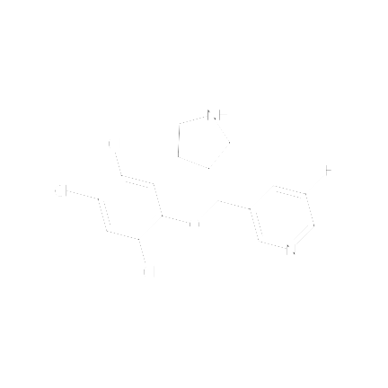 Fc1cncc(C(Oc2cc(Cl)c(Cl)cc2Cl)[C@@H]2CCNC2)c1